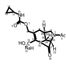 CC(=O)N1C[C@H]2CC(COC(=O)NC3CC3)=C(C(=O)O)N3C(=O)[C@@H]1[C@@H]23.[NaH]